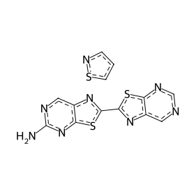 Nc1ncc2nc(-c3nc4cncnc4s3)sc2n1.c1cnsc1